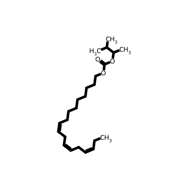 CC/C=C\C/C=C\C/C=C\CCCCCCCCOC(=O)OC(C)C(C)C